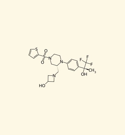 C[C@@](O)(c1ccc(N2CCN(S(=O)(=O)c3cccs3)C[C@H]2CN2CC(O)C2)cc1)C(F)(F)F